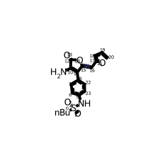 CCCCS(=O)(=O)Nc1ccc(C2=C(N)C(=O)O/C2=C\c2ccco2)cc1